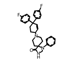 O=C1NCN(c2ccccc2)C12CCN(C1C=CC(c3ccc(F)cc3)(c3ccc(F)cc3)CC1)CC2